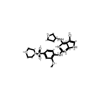 COc1cc(S(=O)(=O)N2CCOCC2)ccc1Nc1nc(N[C@H]2CCOC2)c2c(Cl)c[nH]c2n1